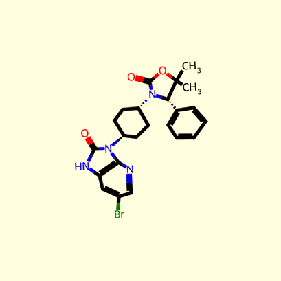 CC1(C)OC(=O)N([C@H]2CC[C@H](n3c(=O)[nH]c4cc(Br)cnc43)CC2)[C@H]1c1ccccc1